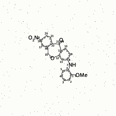 COc1ccccc1Nc1ccc2c(c1)OCc1cc([N+](=O)[O-])ccc1C2=O